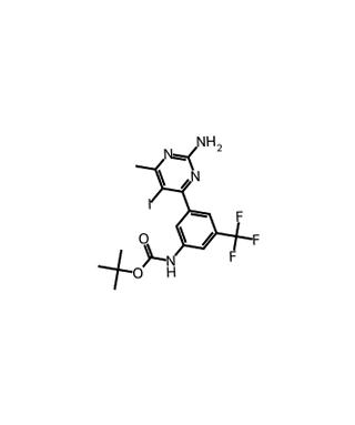 Cc1nc(N)nc(-c2cc(NC(=O)OC(C)(C)C)cc(C(F)(F)F)c2)c1I